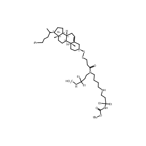 CCC(CC)(CCN(CCCCNCCC(CC)(CC)NC(=O)OC(C)(C)C)C(=O)CCSS[C@H]1CC[C@@]2(C)C(=CC[C@H]3[C@@H]4CC[C@H](C(C)CCCC(C)C)[C@@]4(C)CC[C@@H]32)C1)NC(=O)O